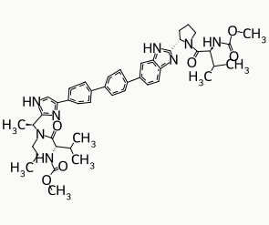 CCCN(C(=O)[C@@H](NC(=O)OC)C(C)C)[C@@H](C)c1nc(-c2ccc(-c3ccc(-c4ccc5nc([C@@H]6CCCN6C(=O)[C@@H](NC(=O)OC)C(C)C)[nH]c5c4)cc3)cc2)c[nH]1